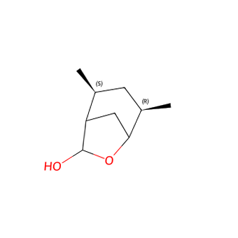 C[C@@H]1C[C@H](C)C2CC1OC2O